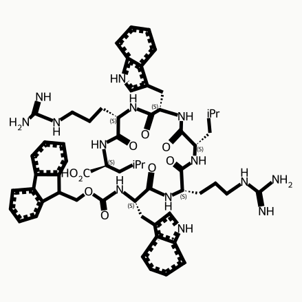 CC(C)C[C@H](NC(=O)[C@H](CCCNC(=N)N)NC(=O)[C@H](Cc1c[nH]c2ccccc12)NC(=O)[C@H](CC(C)C)NC(=O)[C@H](CCCNC(=N)N)NC(=O)[C@H](Cc1c[nH]c2ccccc12)NC(=O)OCC1c2ccccc2-c2ccccc21)C(=O)O